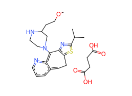 COCCC1CN(C2=c3ncccc3=CCc3sc(C(C)C)nc32)CCN1.O=C(O)CCC(=O)O